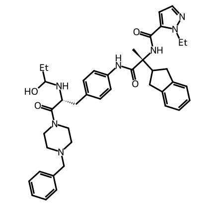 CCC(O)N[C@H](Cc1ccc(NC(=O)[C@](C)(NC(=O)c2ccnn2CC)C2Cc3ccccc3C2)cc1)C(=O)N1CCN(Cc2ccccc2)CC1